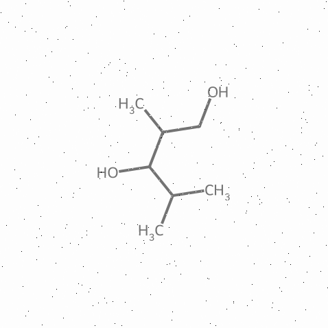 CC(C)C(O)C(C)CO